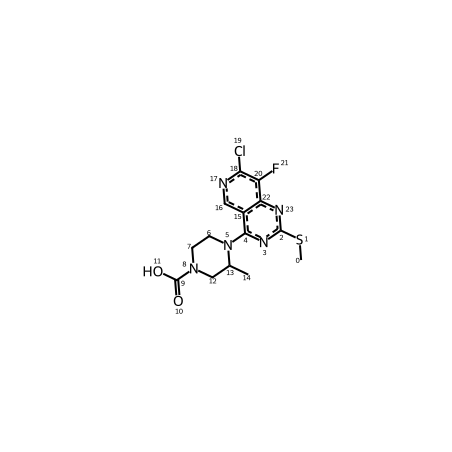 CSc1nc(N2CCN(C(=O)O)CC2C)c2cnc(Cl)c(F)c2n1